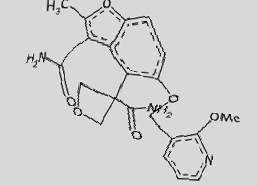 COc1ncccc1COc1ccc2oc(C)c(C(N)=O)c2c1C1(C(N)=O)COC1